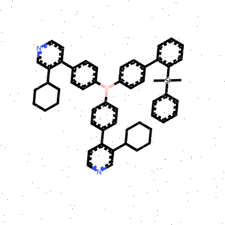 C[Si](C)(c1ccccc1)c1ccccc1-c1ccc(B(c2ccc(-c3ccncc3C3CCCCC3)cc2)c2ccc(-c3ccncc3C3CCCCC3)cc2)cc1